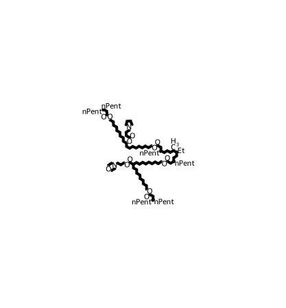 CCCCCC(CCCCC)CC(=O)OCCCCCCCCCC(CCCCCCCCCOC(=O)CC(CCCCC)CCCC(C)C(CC)CCC(CCCCC)CC(=O)OCCCCCCCCCC(CCCCCCCCCOC(=O)CC(CCCCC)CCCCC)C(=O)OCCCN1CCOCC1)OC(=O)CCCN1CCCC1